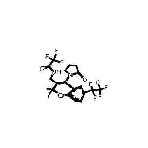 CC1(C)Oc2ccc(C(F)(F)C(F)(F)F)cc2C(N2CCCC2=O)=C1CNC(=O)C(F)(F)F